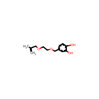 C=C(C)COCCOCc1ccc(O)c(O)c1